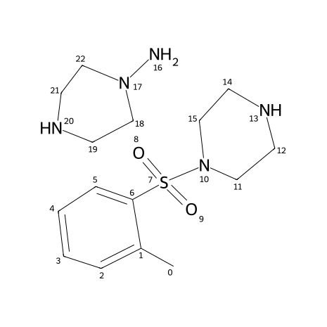 Cc1ccccc1S(=O)(=O)N1CCNCC1.NN1CCNCC1